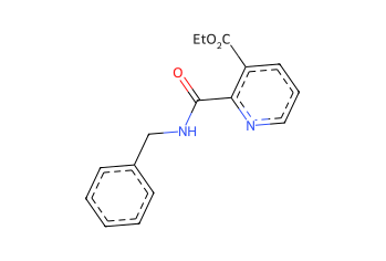 CCOC(=O)c1cccnc1C(=O)NCc1ccccc1